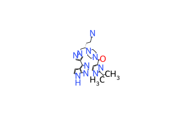 CC(C)c1nccc(C(=O)N2CCN([C@@H](CCC#N)Cn3cc(-c4ncnc5[nH]ccc45)cn3)CC2)n1